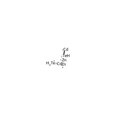 [Cd].[Cd][TeH].[TeH2].[Zn].[Zn]